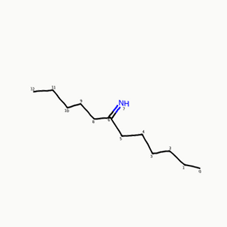 CCCCCCC(=N)CCCCC